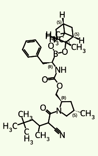 CC(CC(C)(C)C)C(C#N)C(=O)N1C[C@@H](C)C[C@@H]1COC(=O)N[C@@H](Cc1ccccc1)B1O[C@@H]2C[C@@H]3C[C@@H](C3(C)C)[C@]2(C)O1